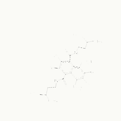 CCCCCCCCC(CCCCCC)CCNC(=O)c1c(Br)c(Br)c(C(=O)NCCC(CCCCCC)CCCCCCCC)c2c(C(=O)O)c(Br)c(Br)c(C(=O)O)c12